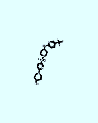 O=S(=O)(c1ccc(N2CCC(O)CC2)nc1)N1CCC(Nc2ccc(C(F)(F)F)cn2)CC1